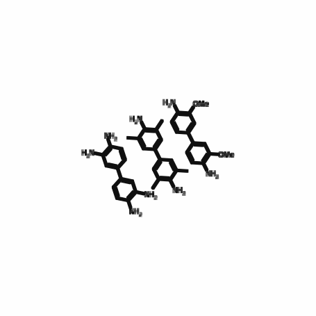 COc1cc(-c2ccc(N)c(OC)c2)ccc1N.Cc1cc(-c2cc(C)c(N)c(C)c2)cc(C)c1N.Nc1ccc(-c2ccc(N)c(N)c2)cc1N